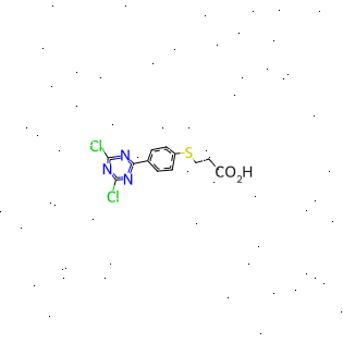 O=C(O)CCSc1ccc(-c2nc(Cl)nc(Cl)n2)cc1